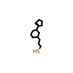 SCCCC1CCCC(C2=CCCC2)C1